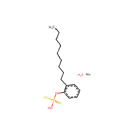 CCCCCCCCCc1ccccc1OP(O)(=S)S.O.[Mo]